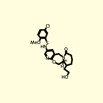 COc1ccc(Cl)cc1SNc1cnc2c(c1)CN1C(=O)CCCC(CCO)[C@@H]1CO2